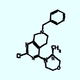 C[C@H]1COCCN1c1nc(Cl)nc2c1CCN(Cc1ccccc1)C2